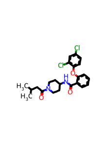 CC(C)CC(=O)N1CCC(NC(=O)c2ccccc2Oc2ccc(Cl)cc2Cl)CC1